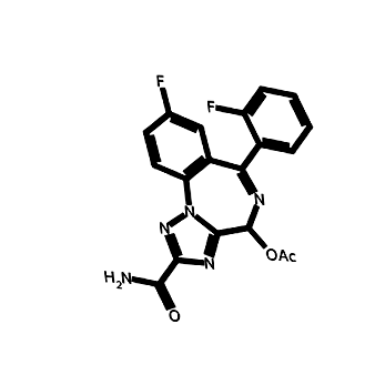 CC(=O)OC1N=C(c2ccccc2F)c2cc(F)ccc2-n2nc(C(N)=O)nc21